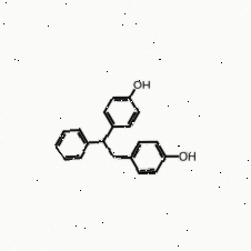 Oc1ccc(C[C](c2ccccc2)c2ccc(O)cc2)cc1